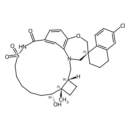 C[C@]12CC[C@H]1CN1C[C@@]3(CCCc4cc(Cl)ccc43)COc3ccc(cc31)C(=O)NS(=O)(=O)CCCCC[C@H]2O